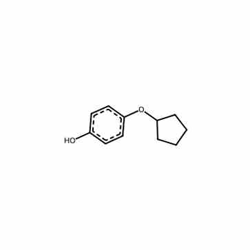 Oc1ccc(OC2CCCC2)cc1